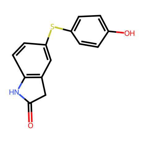 O=C1Cc2cc(Sc3ccc(O)cc3)ccc2N1